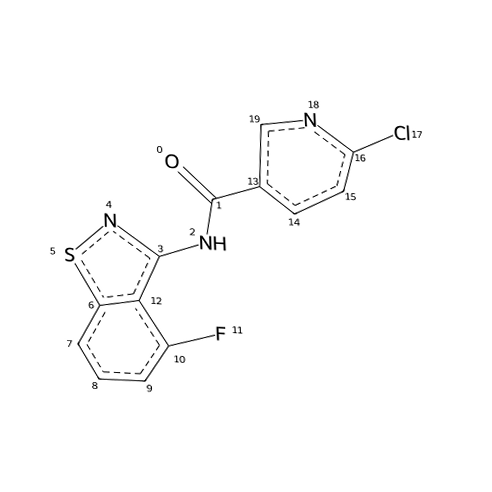 O=C(Nc1nsc2cccc(F)c12)c1ccc(Cl)nc1